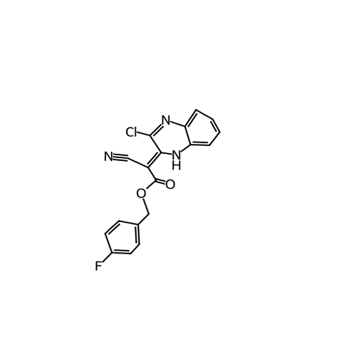 N#C/C(C(=O)OCc1ccc(F)cc1)=C1/Nc2ccccc2N=C1Cl